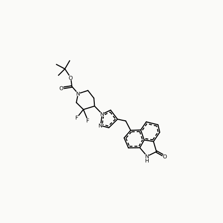 CC(C)(C)OC(=O)N1CCC(n2cc(Cc3ccc4c5c(cccc35)C(=O)N4)cn2)C(F)(F)C1